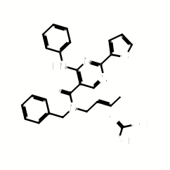 C/C=C/CN(Cc1ccccc1)C(=O)c1cnc(-c2ccco2)nc1Nc1ccccc1.O=C(O)O